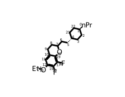 CCC[C@H]1CC[C@H](CCC2CCc3cc(OCC)c(F)c(F)c3O2)CC1